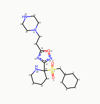 O=S(=O)(CC1CCCCC1)C1(c2noc(CCN3CCNCC3)n2)CCCCN1